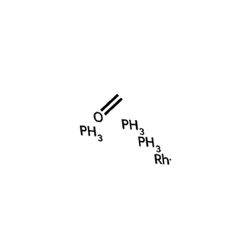 C=O.P.P.P.[Rh]